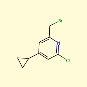 Clc1cc(C2CC2)cc(CBr)n1